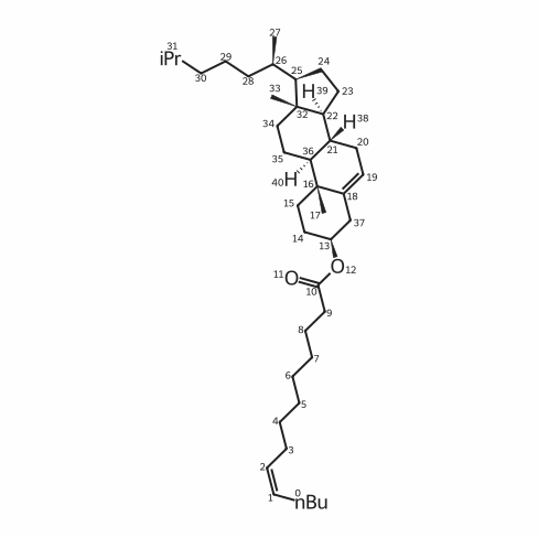 CCCC/C=C\CCCCCCCC(=O)O[C@H]1CC[C@@]2(C)C(=CC[C@H]3[C@@H]4CC[C@H]([C@H](C)CCCC(C)C)[C@@]4(C)CC[C@@H]32)C1